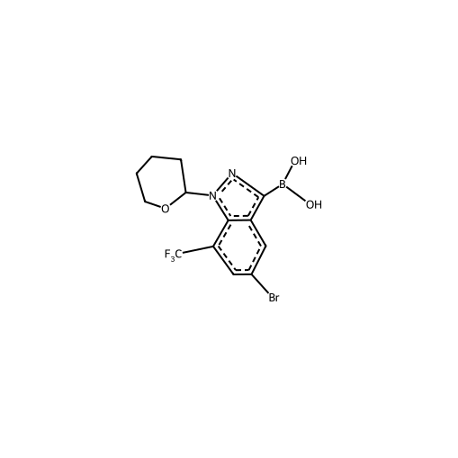 OB(O)c1nn(C2CCCCO2)c2c(C(F)(F)F)cc(Br)cc12